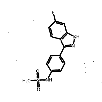 CS(=O)(=O)Nc1ccc(-c2n[nH]c3cc(F)ccc23)cc1